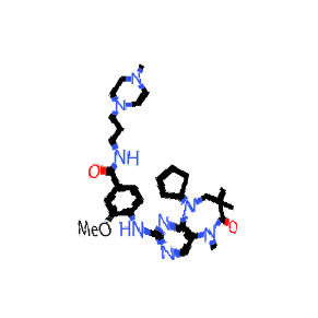 COc1cc(C(=O)NCCCN2CCN(C)CC2)ccc1Nc1ncc2c(n1)N(C1CCCC1)CC(C)(C)C(=O)N2C